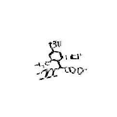 Cc1cc(C(C)(C)C)ccc1C(C(=O)[O-])C(=O)[O-].[Li+].[Li+]